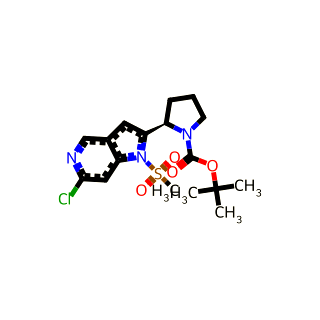 CC(C)(C)OC(=O)N1CCC[C@@H]1c1cc2cnc(Cl)cc2n1S(C)(=O)=O